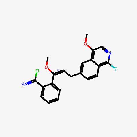 CO/C(=C/Cc1ccc2c(F)ncc(OC)c2c1)c1ccccc1C(=N)Cl